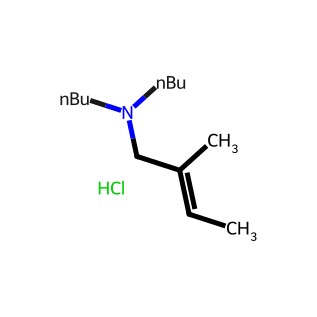 C/C=C(\C)CN(CCCC)CCCC.Cl